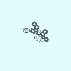 CC1(C)c2ccccc2-c2c1c1c(c3ccccc23)OC(c2ccc(N3CCOCC3)cc2)(c2ccc3ccccc3c2)C=C1